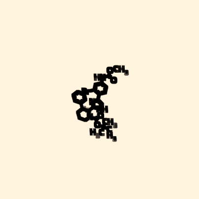 COC(=O)Nc1ccc(-c2c[nH]c([C@@H]3[C@H](c4ccccc4)CCCN3C(=O)OC(C)(C)C)n2)c(Br)c1